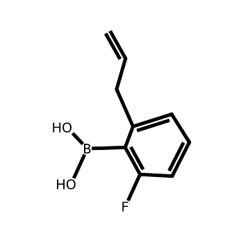 C=CCc1cccc(F)c1B(O)O